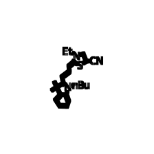 CCCC[N+]1=C(/C=C/C=C2\SC(C#N)CN2CC)C(C)(C)c2ccccc21